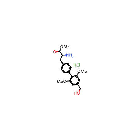 COC(=O)[C@@H](N)Cc1ccc(-c2c(OC)cc(CO)cc2OC)cc1.Cl